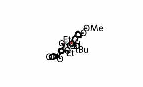 CCOc1cc(C(=O)N2C3CCC2COC3)ccc1C(=O)NC[C@@H](O)[C@]1(CC)Cc2ccc(OCOC)cc2CN1C(=O)OC(C)(C)C